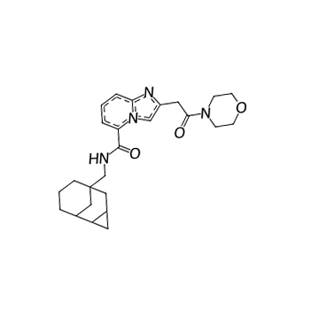 O=C(NCC12CCCC(C1)C1CC1C2)c1cccc2nc(CC(=O)N3CCOCC3)cn12